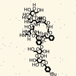 CC(c1ccccc1)C1NC(=O)CNC(=O)C(CO)NC(=O)C(C(O)C2CNC(=N)N2C2OC(CO)C(O)C(O)C2O)NC(=O)C(C(O)C2CNC(=N)N2)NC(=O)C(Cc2ccc(OC3OC(CO)C(OC4OC5COC(c6ccc(C(C)(C)C)cc6)OC5C(O)C4O)C(O)C3O)cc2)NC1=O